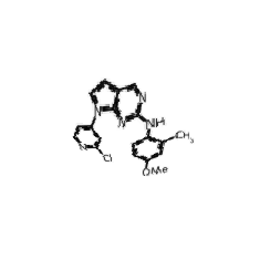 COc1ccc(Nc2ncc3ccn(-c4ccnc(Cl)c4)c3n2)c(C)c1